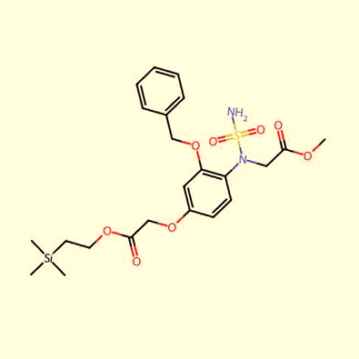 COC(=O)CN(c1ccc(OCC(=O)OCC[Si](C)(C)C)cc1OCc1ccccc1)S(N)(=O)=O